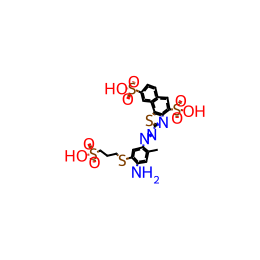 Cc1cc(N)c(SCCCS(=O)(=O)O)cc1N=Nc1nc2c(S(=O)(=O)O)cc3ccc(S(=O)(=O)O)cc3c2s1